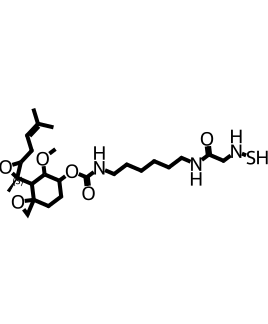 COC1C(OC(=O)NCCCCCCNC(=O)CNS)CCC2(CO2)C1[C@]1(C)OC1CC=C(C)C